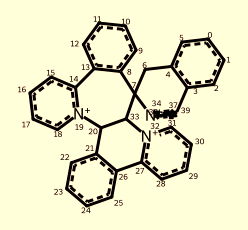 c1ccc2c(c1)CC1(c3ccccc3-c3cccc[n+]3C3c4ccccc4-c4cccc[n+]4C31)[n+]1ccccc1-2